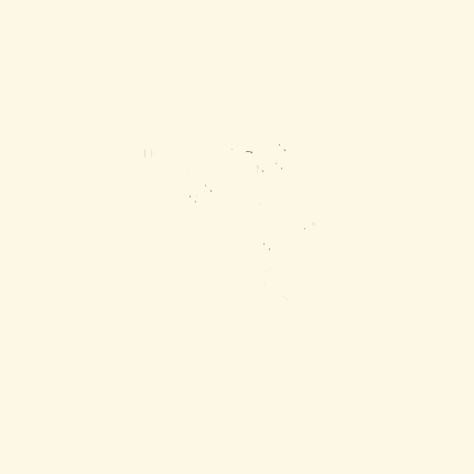 CCCC[C@@H]1CN(Cc2cccc(-n3ncc(C(=O)O)c3[C@@H]3C[C@H]3c3cn(C)nn3)c2)S(=O)(=O)c2cc(C(F)(F)F)ccc2O1